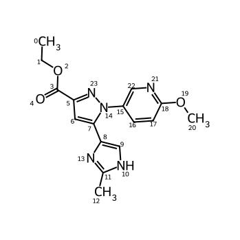 CCOC(=O)c1cc(-c2c[nH]c(C)n2)n(-c2ccc(OC)nc2)n1